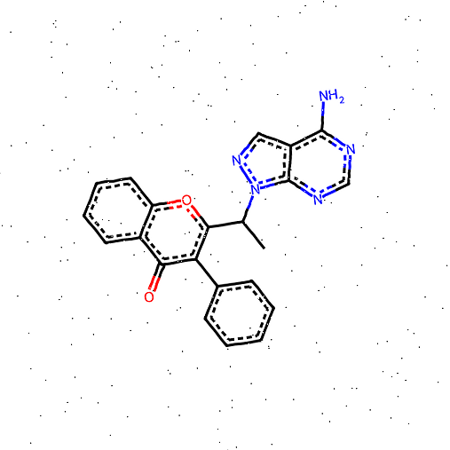 CC(c1oc2ccccc2c(=O)c1-c1ccccc1)n1ncc2c(N)ncnc21